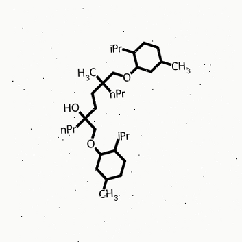 CCCC(C)(CCC(O)(CCC)COC1CC(C)CCC1C(C)C)COC1CC(C)CCC1C(C)C